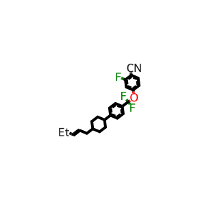 CCC=CCC1CCC(c2ccc(C(F)(F)Oc3ccc(C#N)c(F)c3)cc2)CC1